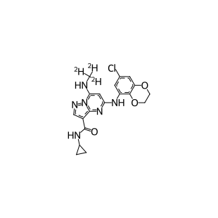 [2H]C([2H])([2H])Nc1cc(Nc2cc(Cl)cc3c2OCCO3)nc2c(C(=O)NC3CC3)cnn12